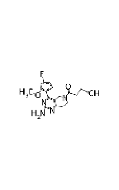 C#CCCC(=O)N1CCc2nc(N)nc(-c3ccc(F)cc3OC)c2C1